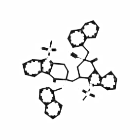 CS(=O)(=O)n1c2c(c3ccccc31)C(=O)[C@](Cc1cccc3ccccc13)(CC1C[C@](C#N)(Cc3cccc4ccccc34)C(=O)c3c1n(S(C)(=O)=O)c1ccccc31)CC2